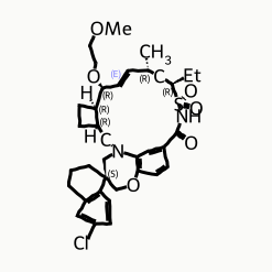 CC[C@@H]1C[C@@H](C)/C=C/[C@H](OCCOC)[C@@H]2CC[C@H]2CN2C[C@@]3(CCCc4cc(Cl)ccc43)COc3ccc(cc32)C(=O)NS1(=O)=O